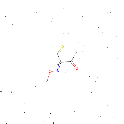 CON=C(C=S)C(C)=O